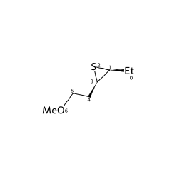 CC[C@@H]1S[C@@H]1CCOC